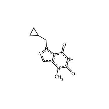 Cn1c(=O)[nH]c(=O)c2c1cnn2CC1CC1